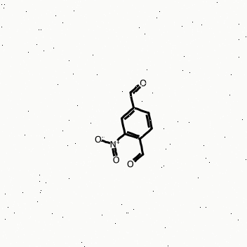 O=Cc1ccc(C=O)c([N+](=O)[O-])c1